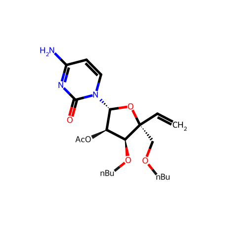 C=C[C@]1(COCCCC)O[C@@H](n2ccc(N)nc2=O)[C@H](OC(C)=O)[C@@H]1OCCCC